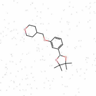 CC1(C)OB(c2cccc(OCC3CCOCC3)c2)OC1(C)C